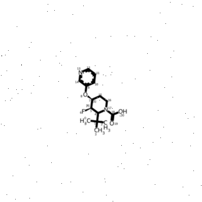 CC(C)(C)C1[C@@H](F)[C@@H](Oc2cccnc2)CCN1C(=O)O